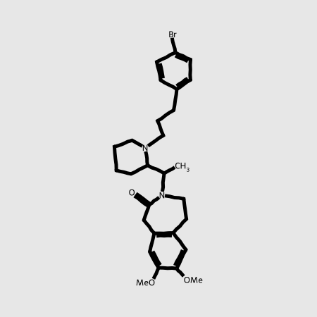 COc1cc2c(cc1OC)CC(=O)N(C(C)C1CCCCN1CCCc1ccc(Br)cc1)CC2